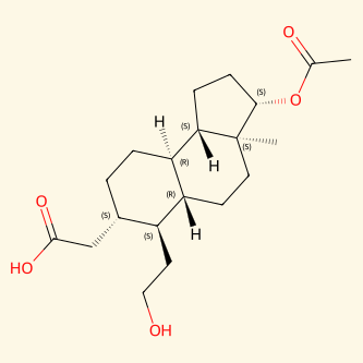 CC(=O)O[C@H]1CC[C@H]2[C@@H]3CC[C@@H](CC(=O)O)[C@H](CCO)[C@H]3CC[C@]12C